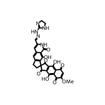 COC1=CC(=O)c2c(O)c3c(c(O)c2C1=O)C(=O)C1(CCc2cc4cc(C=NNC5=NCCN5)[nH]c(=O)c4c(O)c21)C3=O